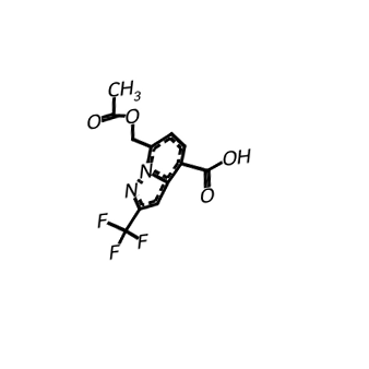 CC(=O)OCc1ccc(C(=O)O)c2cc(C(F)(F)F)nn12